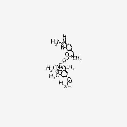 COc1cc(C)c(S(=O)(=O)N(C)CCOCC(=O)N(C)Cc2ccc3[nH]c(N)nc3c2)c(C)c1